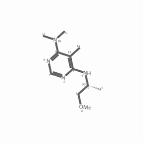 COC[C@@H](C)Nc1ncnc(N(C)C)c1C